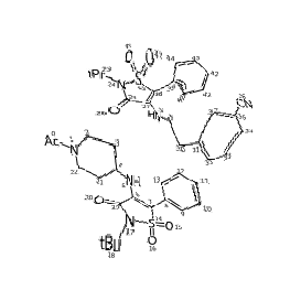 CC(=O)N1CCC(NC2=C(c3ccccc3)S(=O)(=O)N(C(C)(C)C)C2=O)CC1.CC(C)N1C(=O)C(NCCc2cccc(C#N)c2)=C(c2ccccc2)S1(=O)=O